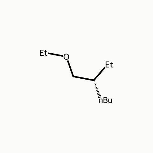 CCCC[C@@H](CC)COCC